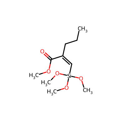 CCCC(=C[Si](OC)(OC)OC)C(=O)OC